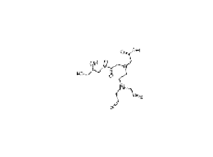 O=C(O)CN(CCN(CC=S)CC=S)CC(=O)NCC(O)CO